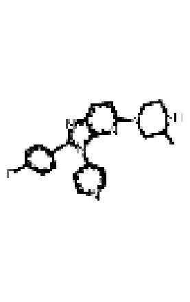 CC1CN(c2ccc3nc(-c4ccc(F)cc4)n(-c4ccncc4)c3n2)CCN1